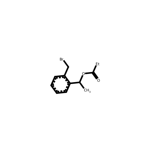 CCC(=O)OC(C)c1ccccc1CBr